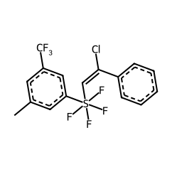 Cc1cc(C(F)(F)F)cc(S(F)(F)(F)(F)/C=C(/Cl)c2ccccc2)c1